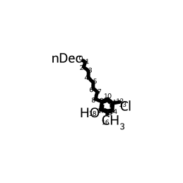 CCCCCCCCCCCCCCCCCCc1cc(CCl)cc(C)c1O